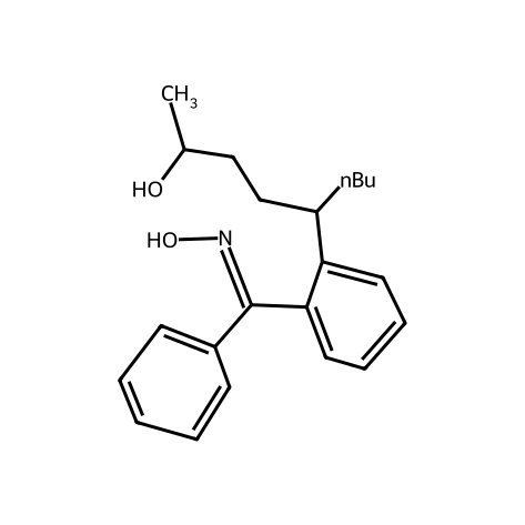 CCCCC(CCC(C)O)c1ccccc1C(=NO)c1ccccc1